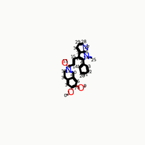 COc1cc2c(cc1OC)CN(C(=O)C=Cc1c(-c3ccccc3)n(C)c3ncccc13)CC2